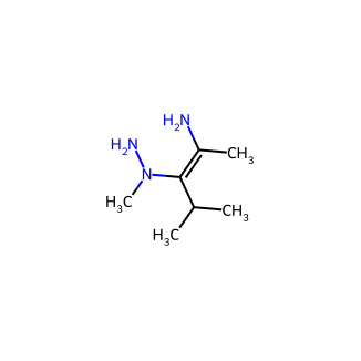 C/C(N)=C(\C(C)C)N(C)N